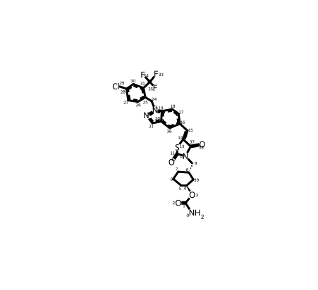 NC(=O)O[C@H]1CCC[C@H](CN2C(=O)SC(=Cc3ccc4c(cnn4Cc4ccc(Cl)cc4C(F)(F)F)c3)C2=O)C1